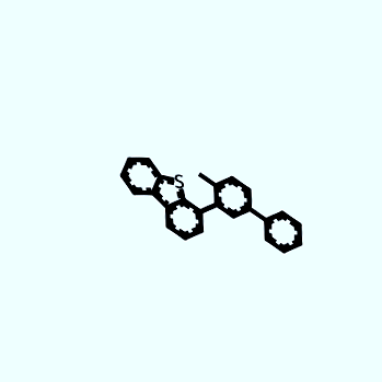 Cc1ccc(-c2ccccc2)cc1-c1cccc2c1sc1ccccc12